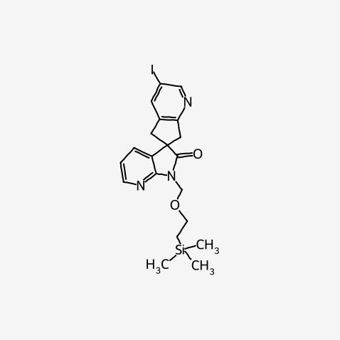 C[Si](C)(C)CCOCN1C(=O)C2(Cc3cc(I)cnc3C2)c2cccnc21